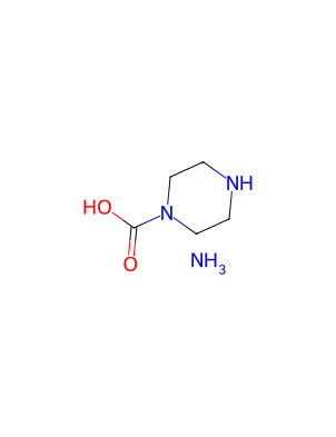 N.O=C(O)N1CCNCC1